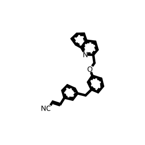 N#CC=Cc1cccc(Cc2cccc(OCc3ccc4ccccc4n3)c2)c1